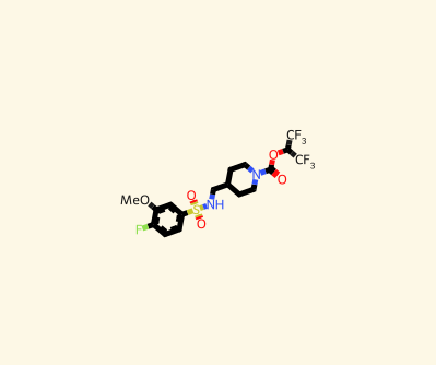 COc1cc(S(=O)(=O)NCC2CCN(C(=O)OC(C(F)(F)F)C(F)(F)F)CC2)ccc1F